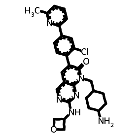 Cc1cccc(-c2ccc(-c3cc4cnc(NC5COC5)nc4n(CC4CCC(N)CC4)c3=O)c(Cl)c2)n1